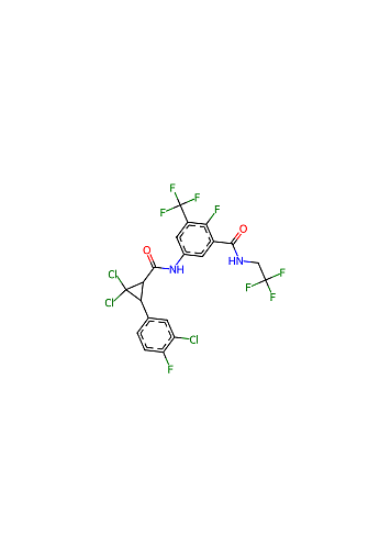 O=C(NCC(F)(F)F)c1cc(NC(=O)C2C(c3ccc(F)c(Cl)c3)C2(Cl)Cl)cc(C(F)(F)F)c1F